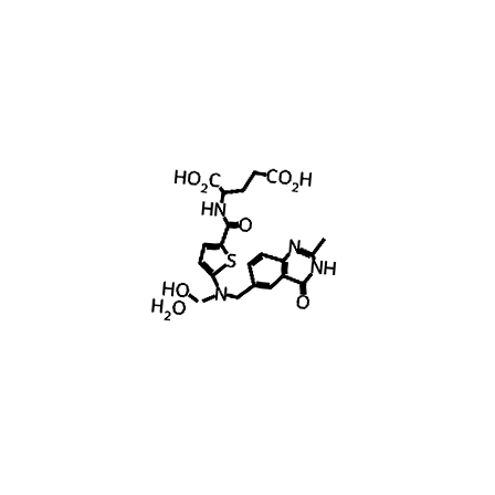 CO.Cc1nc2ccc(CN(C)c3ccc(C(=O)NC(CCC(=O)O)C(=O)O)s3)cc2c(=O)[nH]1.O